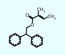 CC=C(C)C(=O)OCC(c1ccccc1)c1ccccc1